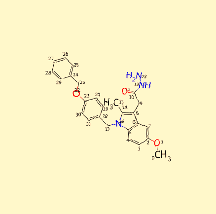 COc1ccc2c(c1)c(CC(=O)NN)c(C)n2Cc1ccc(OCc2ccccc2)cc1